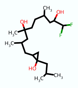 CC(C)CC1(O)CC1CC(C)CC(C)(O)CCC(C)CC(O)C(F)F